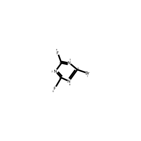 Fc1nc(F)nc(Br)n1